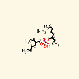 CCCCC(CC)COP(=O)(O)OCC(CC)CCCC.[BaH2]